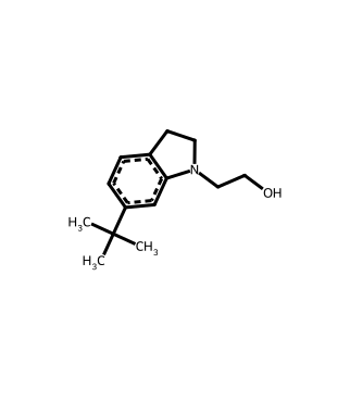 CC(C)(C)c1ccc2c(c1)N(CCO)CC2